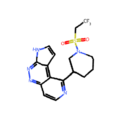 O=S(=O)(CC(F)(F)F)N1CCCC(c2nccc3nnc4[nH]ccc4c23)C1